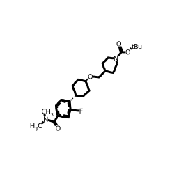 CN(C)C(=O)c1ccc([C@H]2CC[C@H](OCC3CCN(C(=O)OC(C)(C)C)CC3)CC2)c(F)c1